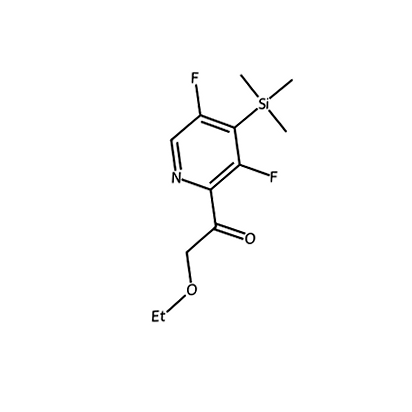 CCOCC(=O)c1ncc(F)c([Si](C)(C)C)c1F